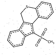 CS(=O)(=O)n1c2c(c3ccccc31)CSc1ccccc1-2